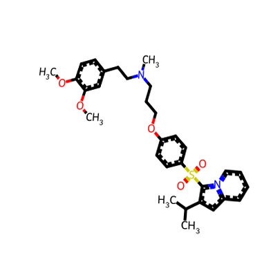 COc1ccc(CCN(C)CCCOc2ccc(S(=O)(=O)c3c(C(C)C)cc4ccccn34)cc2)cc1OC